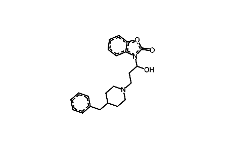 O=c1oc2ccccc2n1C(O)CCN1CCC(Cc2ccccc2)CC1